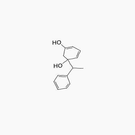 CC(c1ccccc1)C1(O)C=CC=C(O)C1